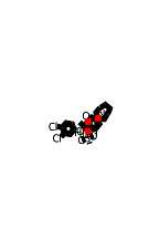 CC(C)(Oc1ccc(Cl)c(Cl)c1)C(=O)NC1CC2CCC(C1)N2c1ccc(NS(C)(=O)=O)cc1